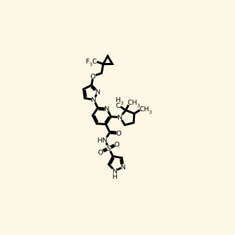 CC1CCN(c2nc(-n3ccc(OCC4(C(F)(F)F)CC4)n3)ccc2C(=O)NS(=O)(=O)c2cn[nH]c2)C1(C)C